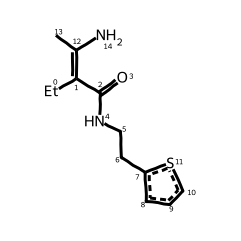 CC/C(C(=O)NCCc1cccs1)=C(\C)N